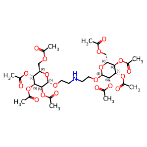 CC(=O)OC[C@H]1O[C@H](OCCNCCO[C@H]2O[C@H](COC(C)=O)[C@@H](OC(C)=O)[C@H](OC(C)=O)[C@@H]2OC(C)=O)[C@@H](OC(C)=O)[C@@H](OC(C)=O)[C@@H]1OC(C)=O